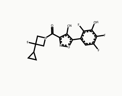 N#Cc1c(C(=O)N2CC(F)(C3CC3)C2)noc1-c1cc(F)c(F)c(O)c1F